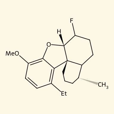 CCc1ccc(OC)c2c1[C@@]13CCC[C@@H](C)C1CCC(F)[C@H]3O2